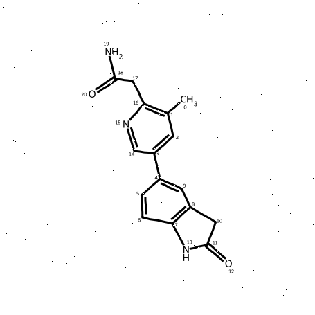 Cc1cc(-c2ccc3c(c2)CC(=O)N3)cnc1CC(N)=O